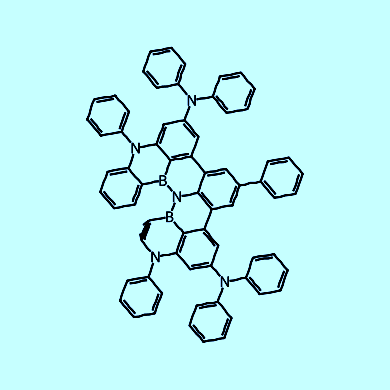 c1ccc(-c2cc3c4c(c2)-c2cc(N(c5ccccc5)c5ccccc5)cc5c2B(c2ccccc2N5c2ccccc2)N4B2c4ccccc4N(c4ccccc4)c4cc(N(c5ccccc5)c5ccccc5)cc-3c42)cc1